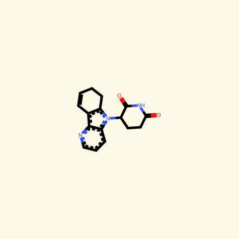 O=C1CCC(n2c3c(c4ncccc42)C=CCC3)C(=O)N1